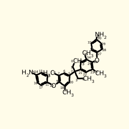 CCC(CC)(c1cc(C)c(Oc2ccc(N)cc2)c(C)c1)c1cc(C)c(Oc2ccc(N)cc2)c(C)c1